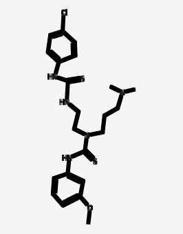 COc1cccc(NC(=S)N(CCCN(C)C)CCNC(=S)Nc2ccc(Cl)cc2)c1